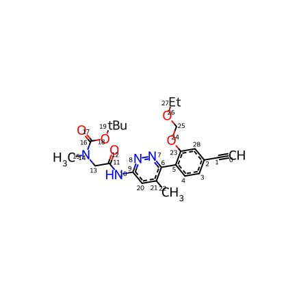 C#Cc1ccc(-c2nnc(NC(=O)CN(C)C(=O)OC(C)(C)C)cc2C)c(OCOCC)c1